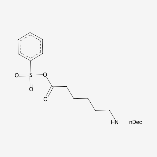 CCCCCCCCCCNCCCCCC(=O)OS(=O)(=O)c1ccccc1